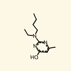 CCCCN(CC)c1nc(C)cc(O)n1